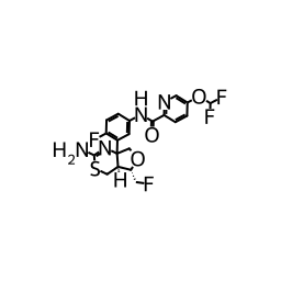 NC1=NC2(c3cc(NC(=O)c4ccc(OC(F)F)cn4)ccc3F)CO[C@H](CF)[C@H]2CS1